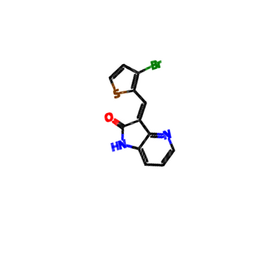 O=C1Nc2cccnc2C1=Cc1sccc1Br